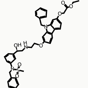 CCOC(=O)COc1ccc2c3ccc(OCCNC[C@H](O)c4cccc(N(Cc5ccccc5)S(C)(=O)=O)c4)cc3n(Cc3ccccc3)c2c1